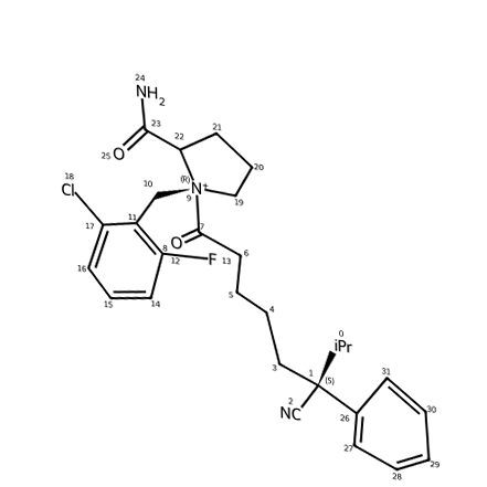 CC(C)[C@@](C#N)(CCCCC(=O)[N@@+]1(Cc2c(F)cccc2Cl)CCCC1C(N)=O)c1ccccc1